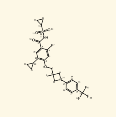 CC1(COc2cc(F)c(C(=O)NS(=O)(=O)C3CC3)cc2C2CC2)CN(c2ccc(C(F)(F)F)cn2)C1